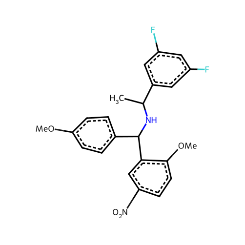 COc1ccc(C(NC(C)c2cc(F)cc(F)c2)c2cc([N+](=O)[O-])ccc2OC)cc1